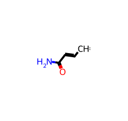 [CH]C=CC(N)=O